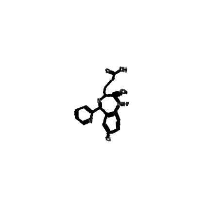 O=C(O)CCC1N=C(c2ccccn2)c2cc(Cl)ccc2NC1=O